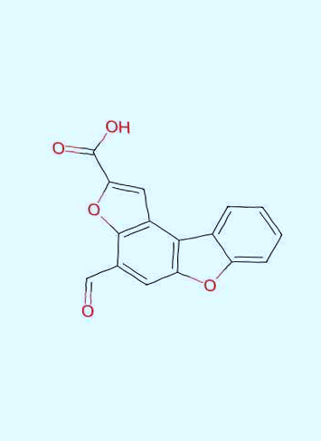 O=Cc1cc2oc3ccccc3c2c2cc(C(=O)O)oc12